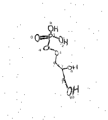 O=P(O)(O)OOCC(O)CO